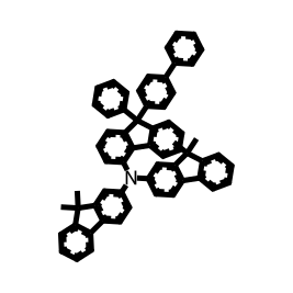 CC1(C)c2ccccc2-c2ccc(N(c3ccc4c(c3)C(C)(C)c3ccccc3-4)c3cccc4c3-c3ccccc3C4(c3ccccc3)c3ccc(-c4ccccc4)cc3)cc21